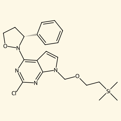 C[Si](C)(C)CCOCn1ccc2c(N3OCC[C@@H]3c3ccccc3)nc(Cl)nc21